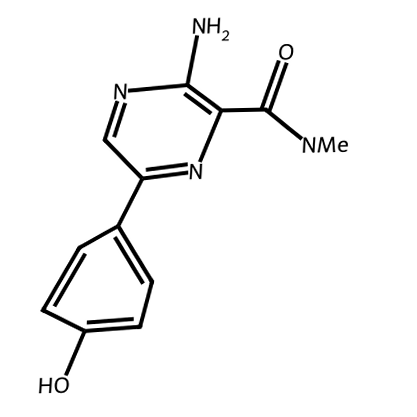 CNC(=O)c1nc(-c2ccc(O)cc2)cnc1N